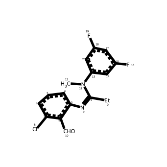 CC/C(=N/c1cccc(Cl)c1C=O)N(C)c1cc(F)cc(F)c1